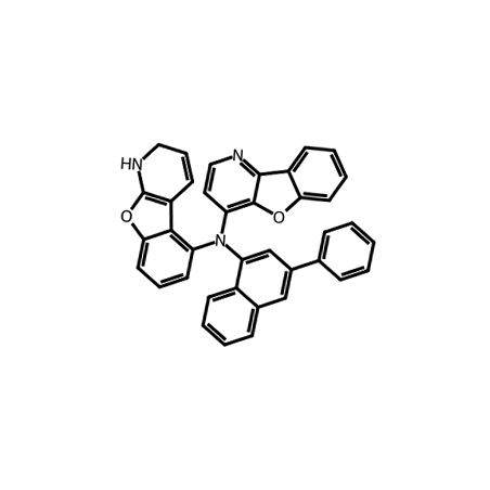 C1=Cc2c(oc3cccc(N(c4cc(-c5ccccc5)cc5ccccc45)c4ccnc5c4oc4ccccc45)c23)NC1